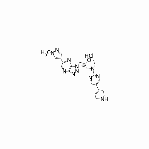 Cl.Cn1cc(-c2cnc3nnn(C[C@@H]4CN(c5ncc(C6=CCNCC6)cn5)CCO4)c3n2)cn1